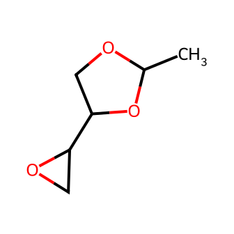 CC1OCC(C2CO2)O1